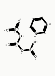 O=S(O)OS(=O)O[SH](=O)=O.c1cncnc1